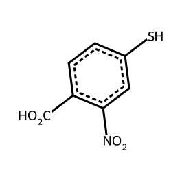 O=C(O)c1ccc(S)cc1[N+](=O)[O-]